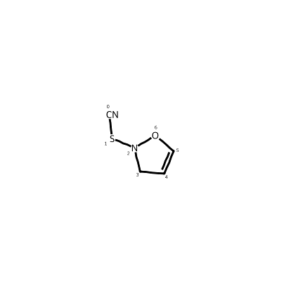 N#CSN1CC=CO1